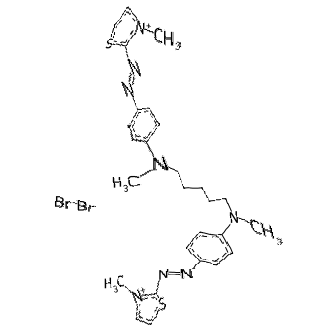 CN(CCCCCN(C)c1ccc(N=Nc2scc[n+]2C)cc1)c1ccc(N=Nc2scc[n+]2C)cc1.[Br-].[Br-]